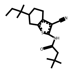 CCC(C)(C)C1CCc2c(sc(NC(=O)CC(C)(C)C)c2C#N)C1